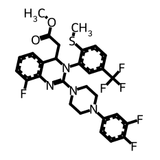 COC(=O)CC1c2cccc(F)c2N=C(N2CCN(c3ccc(F)c(F)c3)CC2)N1c1cc(C(F)(F)F)ccc1SC